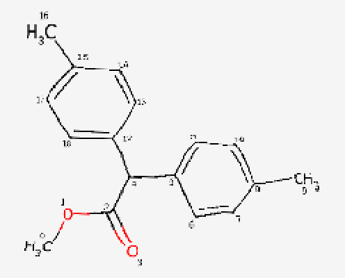 COC(=O)C(c1ccc(C)cc1)c1ccc(C)cc1